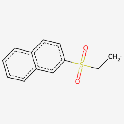 [CH2]CS(=O)(=O)c1ccc2ccccc2c1